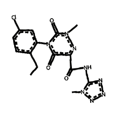 CCc1ccc(Cl)cc1-n1c(=O)c(C(=O)Nc2nnnn2C)nn(C)c1=O